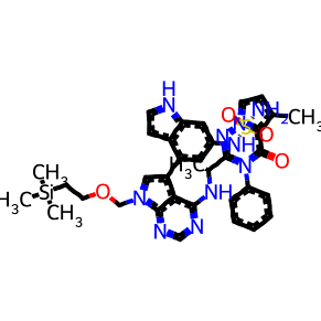 Cc1ccn2nc([C@H](C)Nc3ncnc4c3c(-c3cc(NS(N)(=O)=O)cc5[nH]ccc35)cn4COCC[Si](C)(C)C)n(-c3ccccc3)c(=O)c12